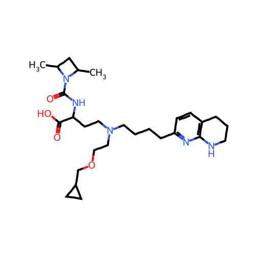 CC1CC(C)N1C(=O)NC(CCN(CCCCc1ccc2c(n1)NCCC2)CCOCC1CC1)C(=O)O